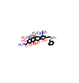 CN(CC#Cc1cc(N(C)C)c2c(c1O)C(=O)C1=C(O)[C@]3(O)C(=O)C(C(N)=O)=C(O)[C@@H](N(C)C)[C@@H]3C[C@@H]1C2)Cc1ccccc1